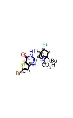 CC(C)(C)[C@@]12C[C@@H]([C@H](F)C1)[C@@H](c1nc3cc(Br)sc3c(=O)[nH]1)N2C(=O)O